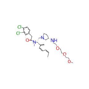 C=C(/C=C\C=C/C)[C@@H](CN1CC[C@H](NCCOCCOCCOC)C1)N(C)C(=O)Cc1ccc(Cl)c(Cl)c1